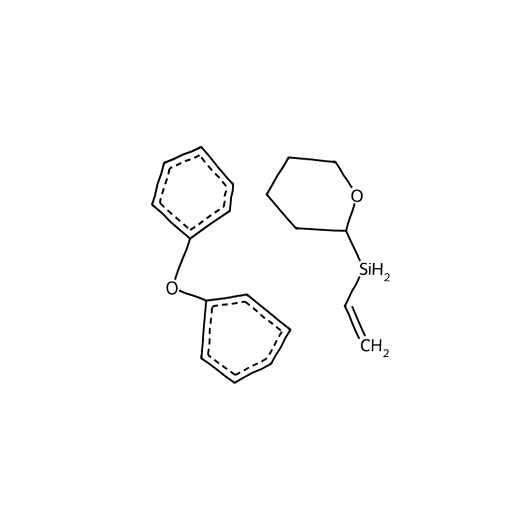 C=C[SiH2]C1CCCCO1.c1ccc(Oc2ccccc2)cc1